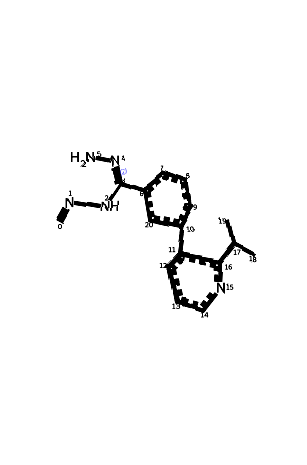 C=NN/C(=N\N)c1cccc(-c2cccnc2C(C)C)c1